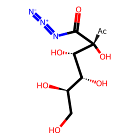 CC(=O)[C@](O)(C(=O)N=[N+]=[N-])[C@@H](O)[C@H](O)[C@H](O)CO